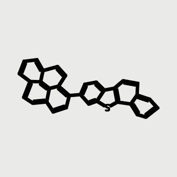 c1ccc2c(c1)ccc1c3ccc(-c4ccc5ccc6cccc7ccc4c5c67)cc3sc21